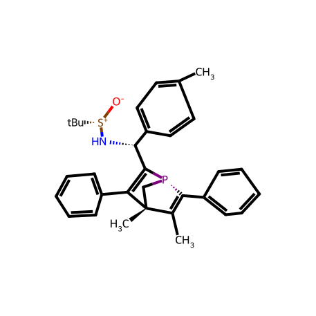 CC1=C(c2ccccc2)[P@]2C[C@@]1(C)C(c1ccccc1)=C2[C@H](N[S@@+]([O-])C(C)(C)C)c1ccc(C)cc1